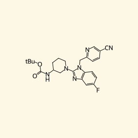 CC(C)(C)OC(=O)NC1CCCN(c2nc3cc(F)ccc3n2Cc2ccc(C#N)cn2)C1